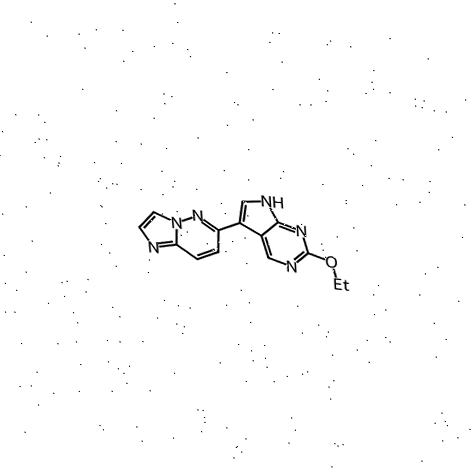 CCOc1ncc2c(-c3ccc4nccn4n3)c[nH]c2n1